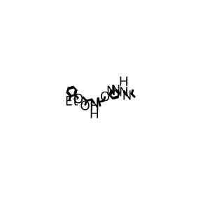 CCc1ccccc1OCC(O)CNC(C)(C)COc1ccc(NN=C(C)C)nn1